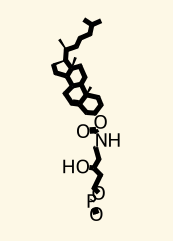 CC(C)CCC[C@H](C)[C@@H]1CCC2C3CC=C4C[C@H](OC(=O)NCCC(O)CCOP=O)CC[C@@]4(C)C3CC[C@]21C